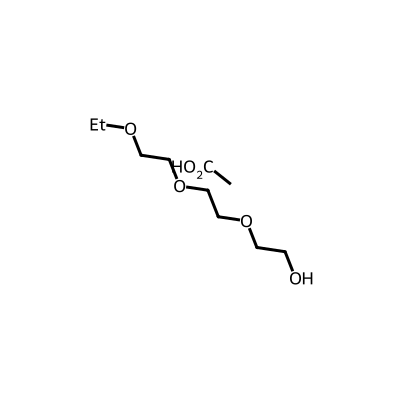 CC(=O)O.CCOCCOCCOCCO